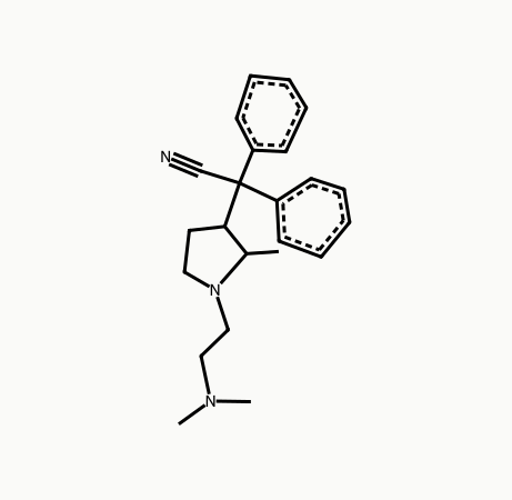 CC1C(C(C#N)(c2ccccc2)c2ccccc2)CCN1CCN(C)C